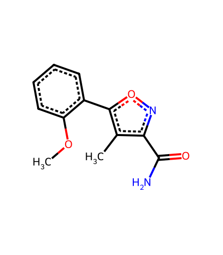 COc1ccccc1-c1onc(C(N)=O)c1C